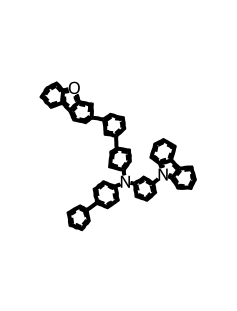 c1ccc(-c2ccc(N(c3ccc(-c4cccc(-c5ccc6c(c5)oc5ccccc56)c4)cc3)c3cccc(-n4c5ccccc5c5ccccc54)c3)cc2)cc1